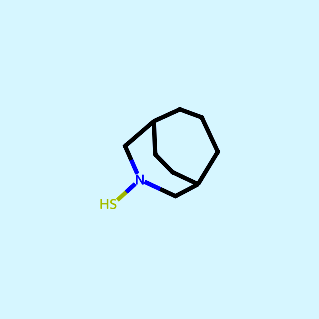 SN1CC2CCCC(CC2)C1